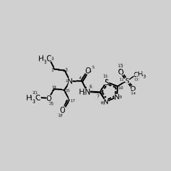 CCCN(C(=O)Nc1nnc(S(C)(=O)=O)s1)C(C=O)COC